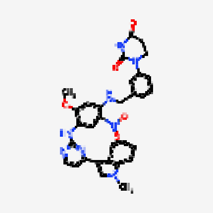 COc1cc(NCc2cccc(N3CCC(=O)NC3=O)c2)c([N+](=O)[O-])cc1Nc1nccc(-c2cn(C)c3ccccc23)n1